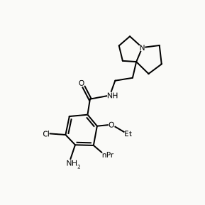 CCCc1c(N)c(Cl)cc(C(=O)NCCC23CCCN2CCC3)c1OCC